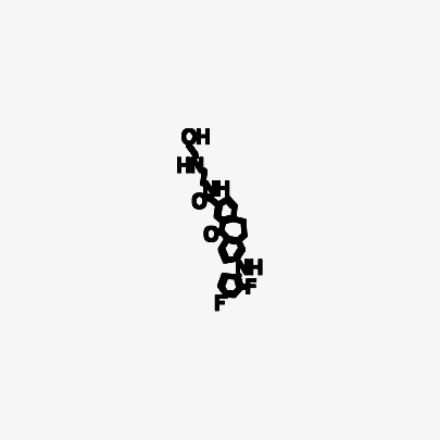 O=C(NCCNCCO)c1ccc2c(c1)C(=O)c1ccc(Nc3ccc(F)cc3F)cc1CC2